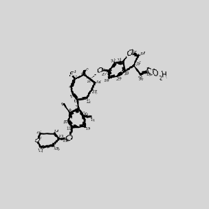 C=C1/C(F)=C\C=C(\c2c(C)cc(OC3CCOCC3)cc2C)CCC[C@H]1Oc1ccc2c(c1)OC[C@H]2CC(=O)O